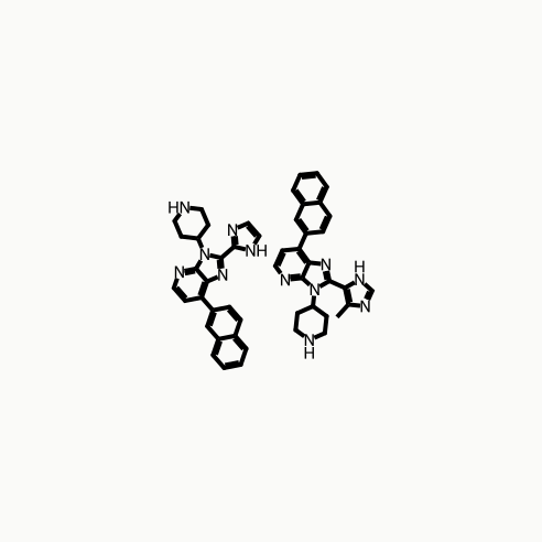 Cc1nc[nH]c1-c1nc2c(-c3ccc4ccccc4c3)ccnc2n1C1CCNCC1.c1ccc2cc(-c3ccnc4c3nc(-c3ncc[nH]3)n4C3CCNCC3)ccc2c1